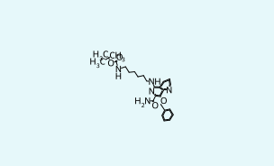 CC(C)(C)OC(=O)NCCCCCCNc1nc(C(N)=O)c(OCc2ccccc2)c2ncccc12